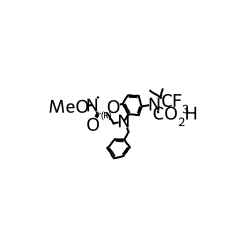 CON(C)C(=O)[C@H]1CN(Cc2ccccc2)c2cc(N(C(=O)O)C(C)(C)C(F)(F)F)ccc2O1